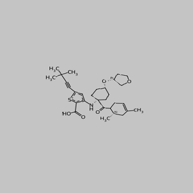 CC1=CCC(C(=O)[C@]2(Nc3cc(C#CC(C)(C)C)sc3C(=O)O)CC[C@@H](O[C@@H]3CCOC3)CC2)[C@@H](C)C1